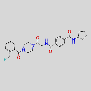 O=C(NCC(=O)N1CCN(C(=O)c2ccccc2CF)CC1)c1ccc(C(=O)NC2CCCC2)cc1